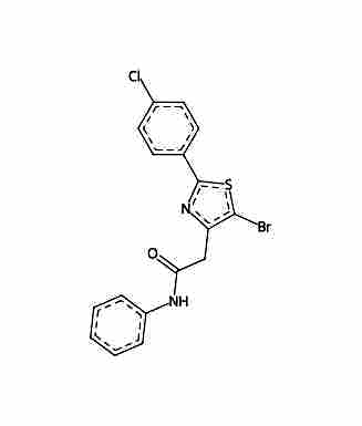 O=C(Cc1nc(-c2ccc(Cl)cc2)sc1Br)Nc1ccccc1